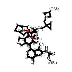 COC1CN(CC2(COc3nc(N4C5CCC4CN(C(=O)OC(C)(C)C)C5)c4c5c(c(-c6ncc(F)c7sc(NC(=O)OC(C)(C)C)c(C#N)c67)c(F)c4n3)COC5)CC2)C1